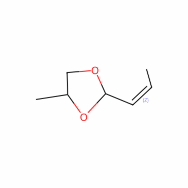 C/C=C\C1OCC(C)O1